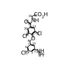 CC(C)Nc1cc(Cl)cc(COc2c(Cl)cc(C(=O)NCC(=O)O)cc2Cl)c1